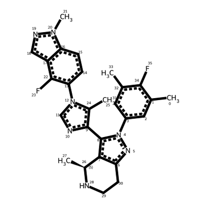 Cc1cc(-n2nc3c(c2-c2ncn(-c4ccc5c(cnn5C)c4F)c2C)[C@H](C)NCC3)cc(C)c1F